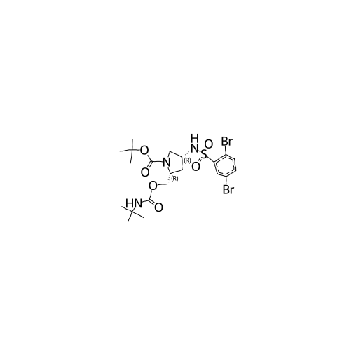 CC(C)(C)NC(=O)OC[C@H]1C[C@@H](NS(=O)(=O)c2cc(Br)ccc2Br)CN1C(=O)OC(C)(C)C